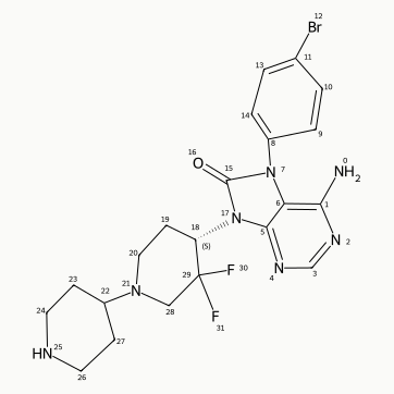 Nc1ncnc2c1n(-c1ccc(Br)cc1)c(=O)n2[C@H]1CCN(C2CCNCC2)CC1(F)F